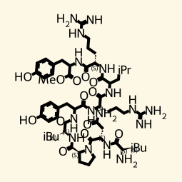 CC[C@H](C)[C@H](N)C(=O)N[C@@H](CC(N)=O)C(=O)N1CCC[C@H]1C(=O)N[C@H](C(=O)NC(Cc1ccc(O)cc1)C(=O)N[C@@H](CCCNC(=N)N)C(=O)NC(CC(C)C)C(=O)N[C@@H](CCCNC(=N)N)C(=O)NC(Cc1ccc(O)cc1)C(=O)OC)[C@@H](C)CC